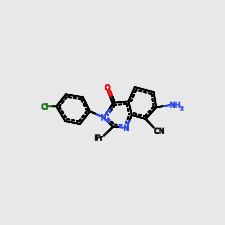 CC(C)c1nc2c(C#N)c(N)ccc2c(=O)n1-c1ccc(Cl)cc1